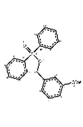 COc1cccc(COP(=O)(c2ccccc2)c2ccccc2)c1